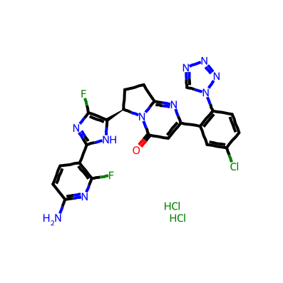 Cl.Cl.Nc1ccc(-c2nc(F)c([C@H]3CCc4nc(-c5cc(Cl)ccc5-n5cnnn5)cc(=O)n43)[nH]2)c(F)n1